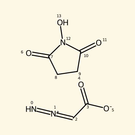 N=[N+]=CC(=O)[O-].O=C1CCC(=O)N1O